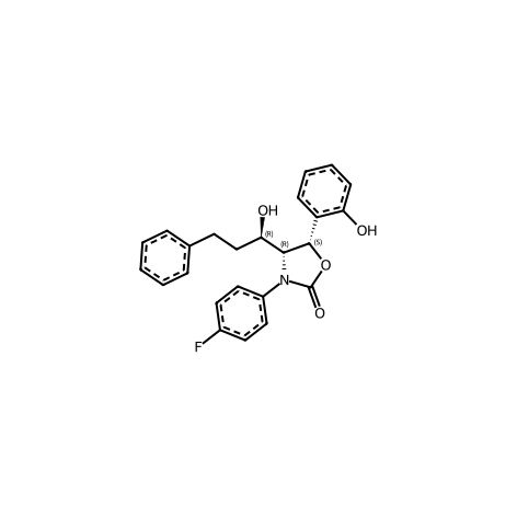 O=C1O[C@@H](c2ccccc2O)[C@@H]([C@H](O)CCc2ccccc2)N1c1ccc(F)cc1